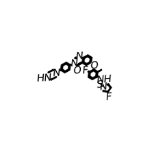 Cc1c(NSN2CCC(F)C2)ccc(F)c1Oc1ccc2ncn(-c3ccc(N4CCNCC4)cc3)c(=O)c2c1